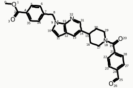 COC(=O)c1ccc(Cn2ccc3cc(C4CCN(C(=O)c5ccc(C=O)cc5)CC4)cnc32)cc1